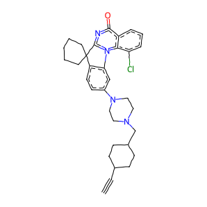 C#CC1CCC(CN2CCN(c3ccc4c(c3)-n3c(nc(=O)c5cccc(Cl)c53)C43CCCCC3)CC2)CC1